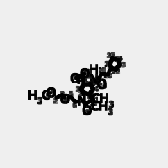 COCCOCCN1C(=O)C(C)(C)c2cc(NC(=O)CCc3ccccc3)c([N+](=O)[O-])cc21